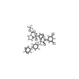 CC(C)(C)OC(=O)[C@@H]1CCCN1S(=O)(=O)c1cnc2n1[C@](C)(Cc1ccc(-c3cncnc3)cc1)C(=O)N2c1cc(Cl)cc(Cl)c1